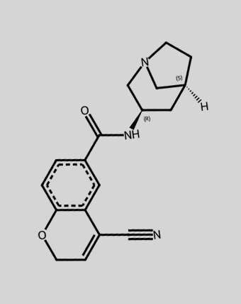 N#CC1=CCOc2ccc(C(=O)N[C@@H]3C[C@@H]4CCN(C4)C3)cc21